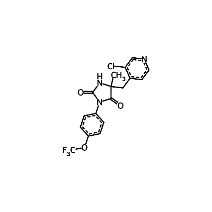 CC1(Cc2ccncc2Cl)NC(=O)N(c2ccc(OC(F)(F)F)cc2)C1=O